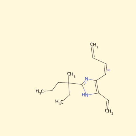 C=C/C=C\c1nc(C(C)(CC)CCC)[nH]c1C=C